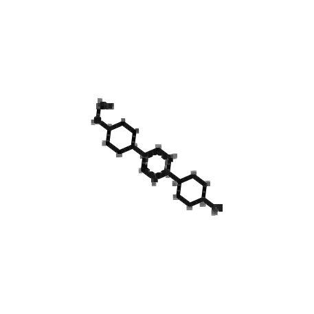 CCCCCCCCCCOC1CCC(c2cnc(C3CCC(C#N)CC3)nc2)CC1